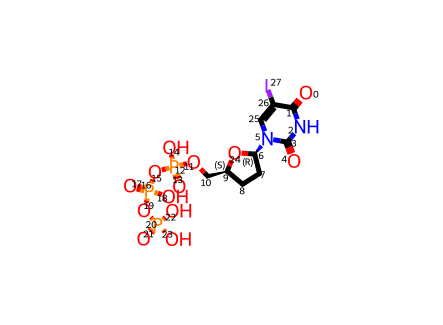 O=c1[nH]c(=O)n([C@H]2CC[C@@H](COP(=O)(O)OP(=O)(O)OP(=O)(O)O)O2)cc1I